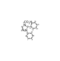 O=C(O)N1C=NN(c2ccccc2)C1c1ccccc1